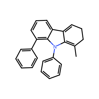 CC1=c2c(c3cccc(-c4ccccc4)c3n2-c2ccccc2)=CCC1